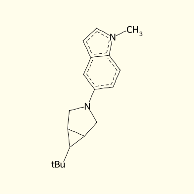 Cn1ccc2cc(N3CC4C(C3)C4C(C)(C)C)ccc21